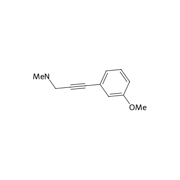 CNCC#Cc1cccc(OC)c1